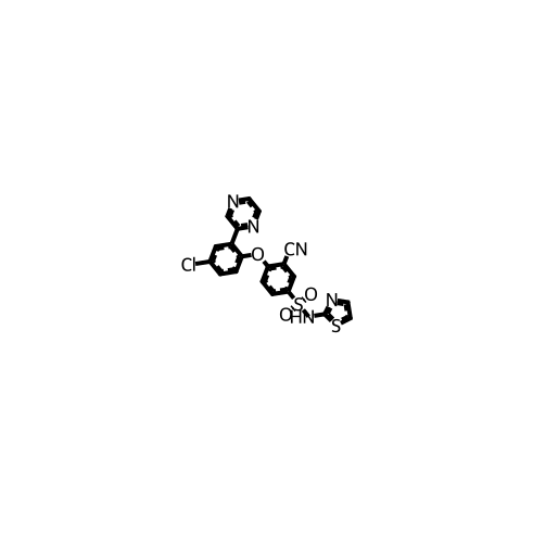 N#Cc1cc(S(=O)(=O)Nc2nccs2)ccc1Oc1ccc(Cl)cc1-c1cnccn1